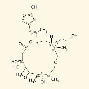 C/C(=C\c1coc(C)n1)[C@@H]1C[C@@H]2N(CCO)[C@]2(C)CCC[C@H](C)[C@H](O)[C@@H](C)C(=O)C(C)(C)[C@@H](O)CC(=O)O1